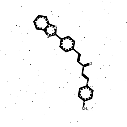 Cc1ccc(C=CC(=O)C=Cc2ccc(-c3nc4ccccc4s3)cc2)cc1